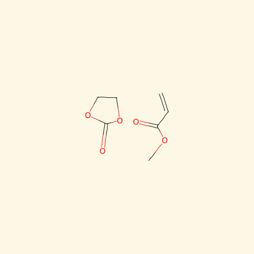 C=CC(=O)OC.O=C1OCCO1